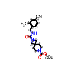 CC(C)(C)OC(=O)N1CCC2(CC1)CN(C(=O)NCc1ccc(C#N)cc1C(F)(F)F)C2